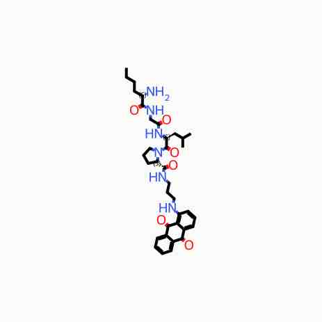 CCCC[C@H](N)C(=O)NCC(=O)N[C@@H](CC(C)C)C(=O)N1CCC[C@H]1C(=O)NCCCNc1cccc2c1C(=O)c1ccccc1C2=O